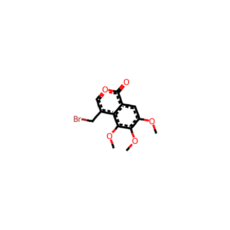 COc1cc2c(=O)occ(CBr)c2c(OC)c1OC